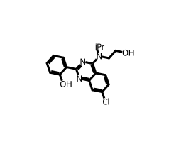 CC(C)N(CCO)c1nc(-c2ccccc2O)nc2cc(Cl)ccc12